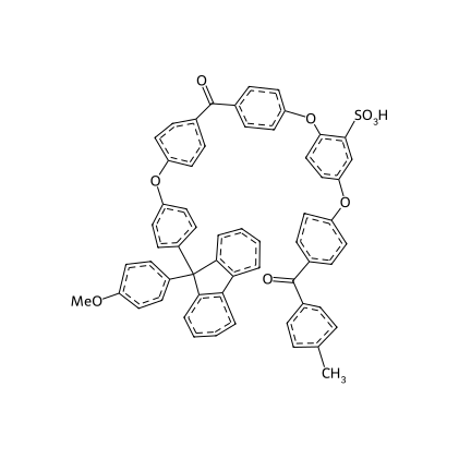 COc1ccc(C2(c3ccc(Oc4ccc(C(=O)c5ccc(Oc6ccc(Oc7ccc(C(=O)c8ccc(C)cc8)cc7)cc6S(=O)(=O)O)cc5)cc4)cc3)c3ccccc3-c3ccccc32)cc1